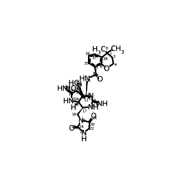 CC1(C)CCOc2c(C(=O)N[C@H]3CN4C(=N)N[C@@H](CN5C(=O)CNC5=O)[C@@H]5NC(=N)N[C@@]54C3(O)O)cccc21